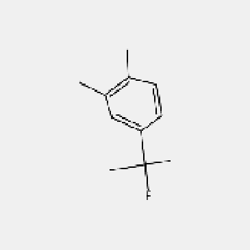 Cc1ccc(C(C)(C)F)cc1C